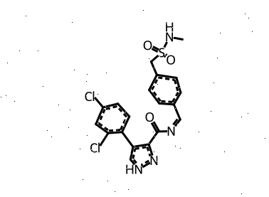 CNS(=O)(=O)Cc1ccc(/C=N\C(=O)c2n[nH]cc2-c2ccc(Cl)cc2Cl)cc1